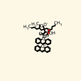 CCCCC(CC)CC(CC(CC)CCCC)(C(=O)[O-])C(C(=O)[O-])S(=O)(=O)O.c1ccc2[o+]c3ccccc3cc2c1.c1ccc2[o+]c3ccccc3cc2c1